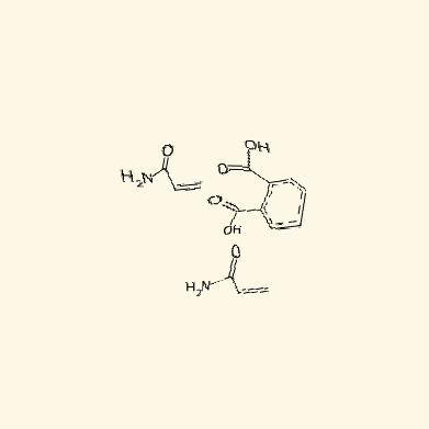 C=CC(N)=O.C=CC(N)=O.O=C(O)c1ccccc1C(=O)O